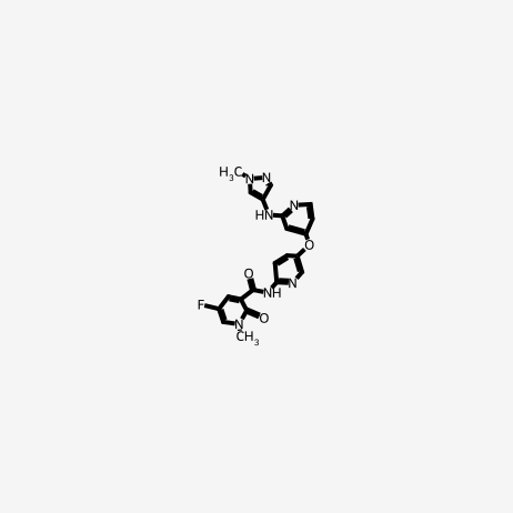 Cn1cc(Nc2cc(Oc3ccc(NC(=O)c4cc(F)cn(C)c4=O)nc3)ccn2)cn1